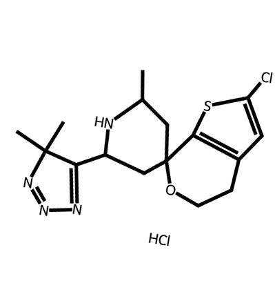 CC1CC2(CC(C3=NN=NC3(C)C)N1)OCCc1cc(Cl)sc12.Cl